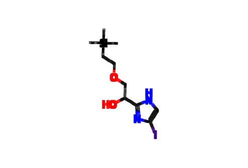 C[Si](C)(C)CCOCC(O)c1nc(I)c[nH]1